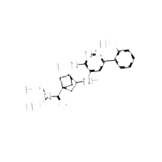 CN(C)C(=O)C12CC(C1)C(Nc1cc(-c3ccccc3O)nnc1N)C2